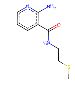 CSCCNC(=O)c1cccnc1N